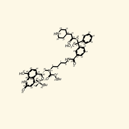 CC(C)(C)OC(=O)N(CCCCNC(=O)c1cccc(C(OC(=O)CC2CCNCC2)(C(=O)O)c2ccccc2)c1)C[C@H](O[Si](C)(C)C(C)(C)C)c1ccc(O)c2[nH]c(=O)ccc12